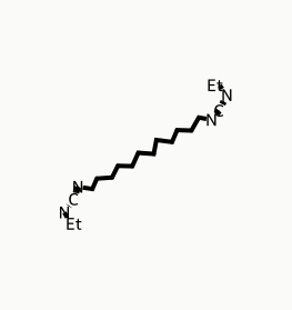 CCN=C=NCCCCCCCCCCCCN=C=NCC